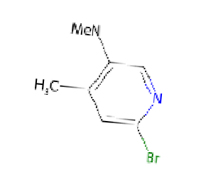 CNc1cnc(Br)cc1C